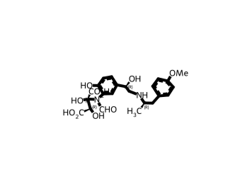 COc1ccc(C[C@@H](C)NC[C@H](O)c2ccc(O)c(N(C=O)[C@](O)(C(=O)O)[C@@H](O)C(=O)O)c2)cc1